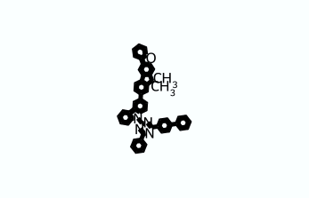 CC1(C)c2cc(-c3ccc4c(c3)c3ccccc3n4-c3nc(-c4ccccc4)nc(-c4ccc(-c5ccccc5)cc4)n3)ccc2-c2cc3c(cc21)oc1ccccc13